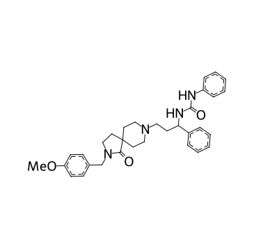 COc1ccc(CN2CCC3(CCN(CCC(NC(=O)Nc4ccccc4)c4ccccc4)CC3)C2=O)cc1